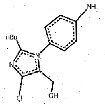 CCCCc1nc(Cl)c(CO)n1-c1ccc(N)cc1